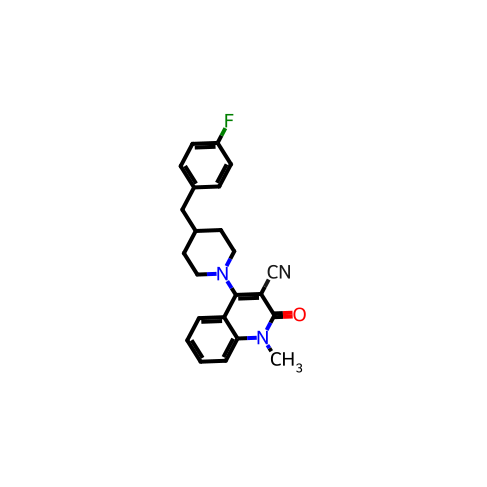 Cn1c(=O)c(C#N)c(N2CCC(Cc3ccc(F)cc3)CC2)c2ccccc21